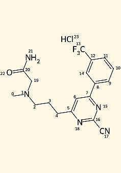 CN(CCCc1cc(-c2cccc(C(F)(F)F)c2)nc(C#N)n1)CC(N)=O.Cl